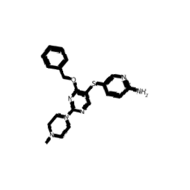 CN1CCN(c2ncc(Sc3ccc(N)nc3)c(OCc3ccccc3)n2)CC1